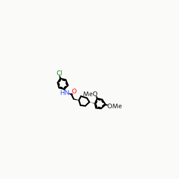 COc1ccc([C@H]2CC[C@H](CC(=O)Nc3ccc(Cl)cc3)CC2)c(OC)c1